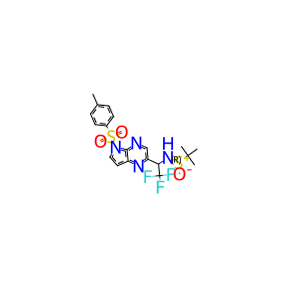 Cc1ccc(S(=O)(=O)n2ccc3nc(C(N[S@@+]([O-])C(C)(C)C)C(F)(F)F)cnc32)cc1